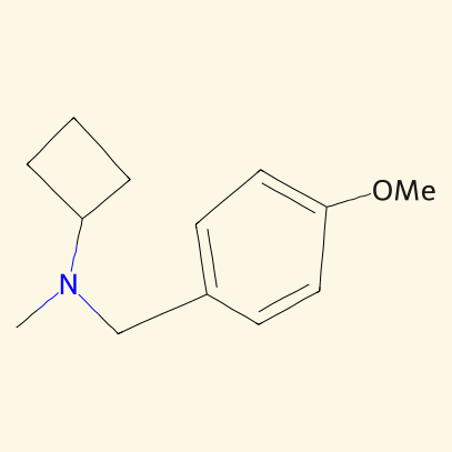 COc1ccc(CN(C)C2CCC2)cc1